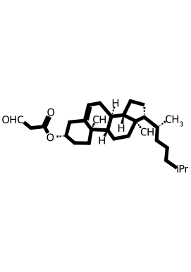 CC(C)CCC[C@@H](C)[C@H]1CC[C@H]2[C@@H]3CC=C4C[C@@H](OC(=O)CC=O)CC[C@]4(C)[C@H]3CC[C@]12C